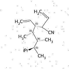 C=CC(C#N)[C@@H](C=C)[C@@H](C)[C@H](C)[C@@H](C)C(C)C